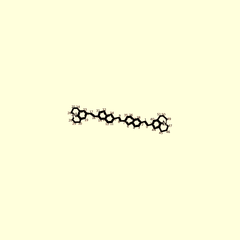 C(=C\c1ccc2cc(/C=C/c3ccc4cc(/C=C/c5cc6c7c(c5)CCCN7CCC6)ccc4c3)ccc2c1)/c1cc2c3c(c1)CCCN3CCC2